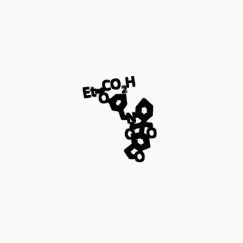 CCC(Oc1cccc(CN2C(=O)C3(COc4cc5c(cc43)CCO5)c3ccccc32)c1)C(=O)O